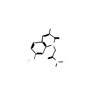 CCCCN(CCCC)C(=O)Cn1c(=O)c(C(C)C)cc2ccc(OC)cc21